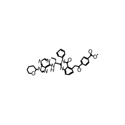 CC[C@H](Nc1ncnc2c1ncn2C1CCCCO1)c1nc2cccc(CC(=O)c3ccc(C(=O)OC)cc3)c2c(=O)n1-c1ccccc1